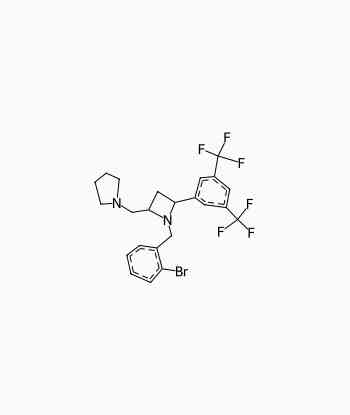 FC(F)(F)c1cc(C2CC(CN3CCCC3)N2Cc2ccccc2Br)cc(C(F)(F)F)c1